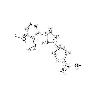 COc1cccc(-c2nnc(-c3ccc(B(O)O)cc3)o2)c1OC